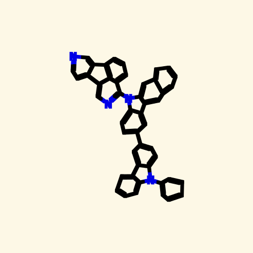 c1ccc(-n2c3ccccc3c3cc(-c4ccc5c(c4)c4cc6ccccc6cc4n5-c4ncc5c6c(cccc46)-c4cnccc4-5)ccc32)cc1